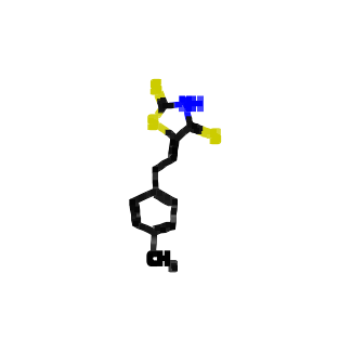 Cc1ccc(CC=C2SC(=S)NC2=S)cc1